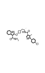 Cc1c(C(=O)N[C@@H](C)CC2CC(Oc3nn4ccccc4c3C(N)=O)C2)cnn1-c1ccc(Cl)cc1